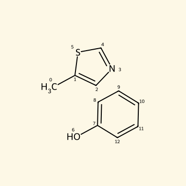 Cc1cncs1.Oc1ccccc1